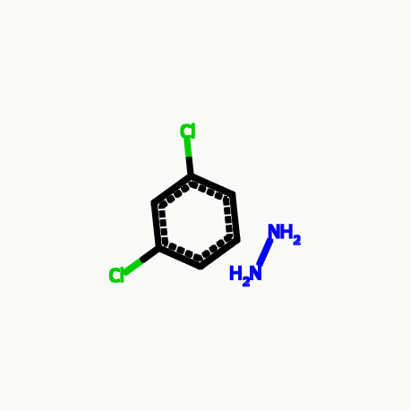 Clc1cccc(Cl)c1.NN